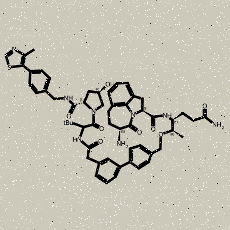 Cc1ncsc1-c1ccc(CNC(=O)[C@@H]2C[C@@H](O)CN2C(=O)C(NC(=O)Cc2cccc(-c3ccc(CO[C@H](C)[C@H](CCC(N)=O)NC(=O)[C@@H]4Cc5cccc6c5N4C(=O)[C@@H](N)CC6)cc3)c2)C(C)(C)C)cc1